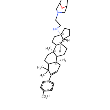 CC1(C)C(c2ccc(C(=O)O)cc2)=CC[C@@]2(C)C1CC[C@@]1(C)C3CC[C@@]4(NCCN5CC6CCC(C5)O6)CCC[C@@H]4[C@H]3CCC12